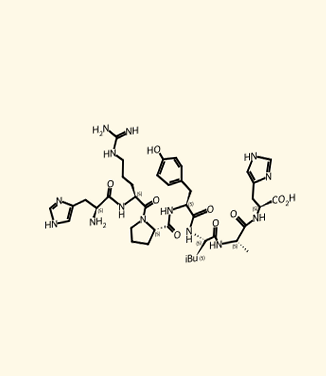 CC[C@H](C)[C@H](NC(=O)[C@H](Cc1ccc(O)cc1)NC(=O)[C@@H]1CCCN1C(=O)[C@H](CCCNC(=N)N)NC(=O)[C@@H](N)Cc1c[nH]cn1)C(=O)N[C@@H](C)C(=O)N[C@@H](Cc1c[nH]cn1)C(=O)O